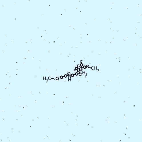 CCCCC[C@H]1CC[C@H](c2ccc(-c3ccc(C(=O)Nc4ccc(-c5ccc6c(c5)-c5c(c7c(c8c(F)ccc(F)c58)OC(c5ccc(F)cc5)(c5ccc(OCCCC)cc5)C=C7)C6(C)C)cc4)cc3)cc2)CC1